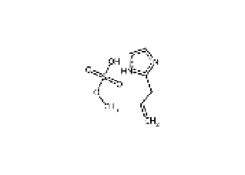 C=CCc1ncc[nH]1.COS(=O)(=O)O